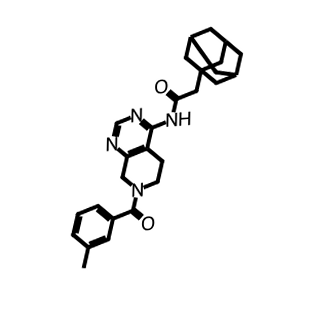 Cc1cccc(C(=O)N2CCc3c(ncnc3NC(=O)CC34CC5CC(CC(C5)C3)C4)C2)c1